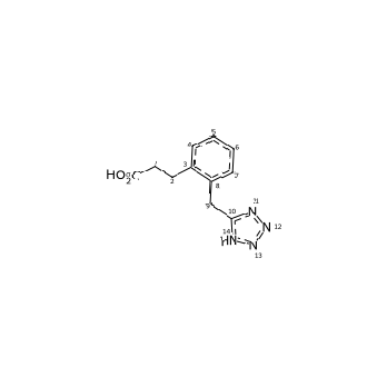 O=C(O)CCc1ccccc1Cc1nnn[nH]1